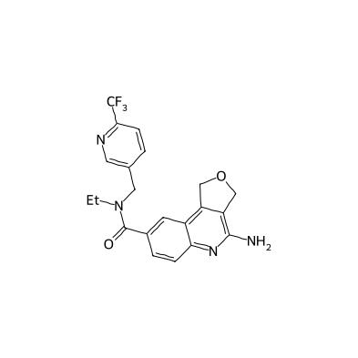 CCN(Cc1ccc(C(F)(F)F)nc1)C(=O)c1ccc2nc(N)c3c(c2c1)COC3